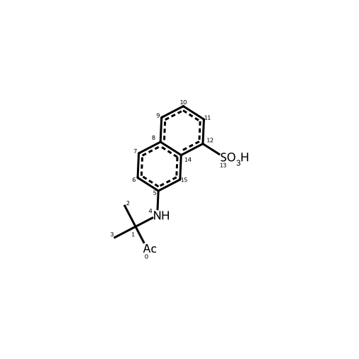 CC(=O)C(C)(C)Nc1ccc2cccc(S(=O)(=O)O)c2c1